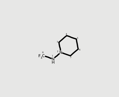 FC(F)(F)NN1CCCCC1